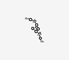 CC(C)(C)c1ccc(-c2nnc(-c3ccc(-c4ccccc4[C@H]4c5ccccc5-c5ccc(-c6nnc(-c7ccc(C(C)(C)C)cc7)o6)cc54)cc3)o2)cc1